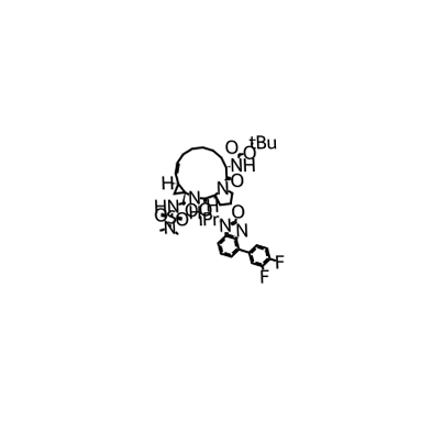 CC(C)n1c(O[C@@H]2C[C@H]3C(=O)N[C@]4(C(=O)NS(=O)(=O)N(C)C)C[C@H]4/C=C\CCCCC[C@H](NC(=O)OC(C)(C)C)C(=O)N3C2)nc2c(-c3ccc(F)c(F)c3)cccc21